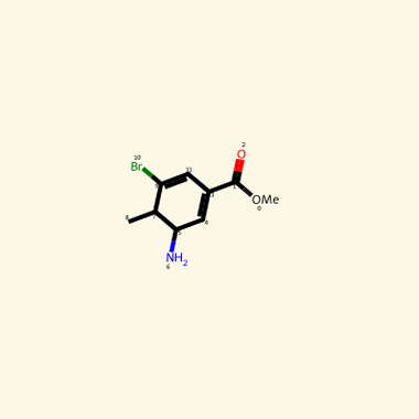 COC(=O)C1=CC(N)C(C)C(Br)=C1